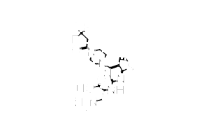 NC[C@@H](Nc1nc(N2CCN(C(=O)CC(F)(F)F)CC2)c2ccsc2n1)C(=O)O